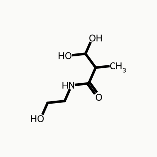 CC(C(=O)NCCO)C(O)O